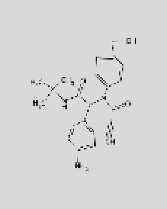 C#CC(=O)N(c1ccc(CO)cc1)C(C(=O)NC(C)(C)C)c1ccc(N)cc1